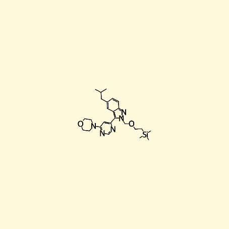 CC(C)Cc1ccc2nn(COCC[Si](C)(C)C)c(-c3cc(N4CCOCC4)ncn3)c2c1